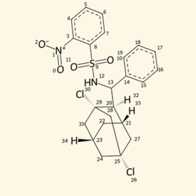 O=[N+]([O-])c1ccccc1S(=O)(=O)NC(c1ccccc1)[C@H]1[C@H]2C[C@@H]3C[C@](Cl)(C2)C[C@@]1(Cl)C3